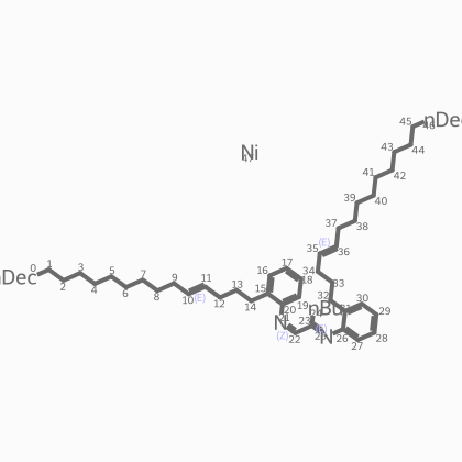 CCCCCCCCCCCCCCCCCCC/C=C/CCCc1ccccc1/N=C\C(CCCC)=N\c1ccccc1CCC/C=C/CCCCCCCCCCCCCCCCCCC.[Ni]